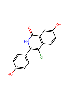 O=c1[nH]c(-c2ccc(O)cc2)c(Cl)c2ccc(O)cc12